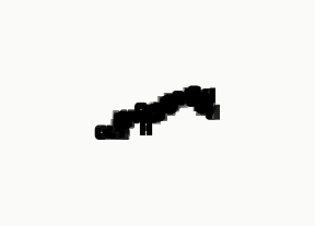 COc1cccc(CCC(=O)NN2CCN(c3ccc(OC[C@@H]4CO[C@](C)(c5ccc(Cl)cc5Cl)O4)cc3)CC2)c1